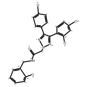 O=C(Cn1nc(-c2ccc(Cl)cc2)c(-c2ccc(Cl)cc2Cl)n1)NCc1ccccc1Cl